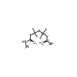 CC(C)NC(=O)CC(C)(C)CC(C)(C)CC(=O)C(C)C